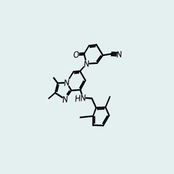 Cc1cccc(C)c1CNc1cc(-n2cc(C#N)ccc2=O)cn2c(C)c(C)nc12